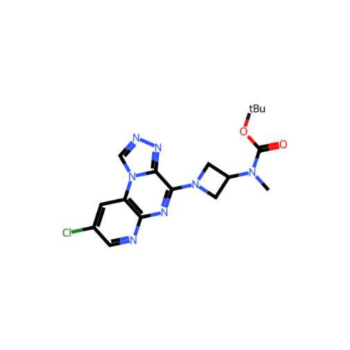 CN(C(=O)OC(C)(C)C)C1CN(c2nc3ncc(Cl)cc3n3cnnc23)C1